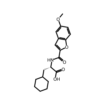 COc1ccc2oc(C(=O)N[C@@H](CC3CCCCC3)C(=O)O)cc2c1